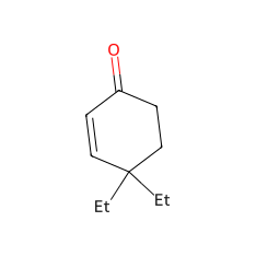 CCC1(CC)C=CC(=O)CC1